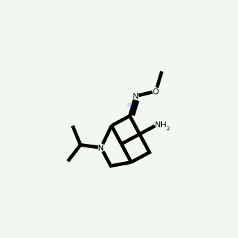 CO/N=C1/C2C3C(CN2C(C)C)CC13N